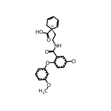 COc1cccc(Oc2ccc(Cl)cc2C(=O)NCC[C@]2(C(=O)O)C=CC=CC2)c1